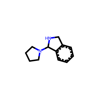 c1ccc2c(c1)CN[C]2N1CCCC1